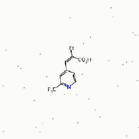 CCC(=Cc1ccnc(C(F)(F)F)c1)C(=O)O